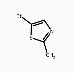 [CH2]c1ncc(CC)s1